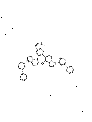 CC1(C)C=Cc2cc3c(cc21)-c1ccc2c(ccn2-c2cc(-c4ccccc4)ccn2)c1Oc1ccc2c(ccn2-c2cccc(-c4ccccc4)c2)c1-3